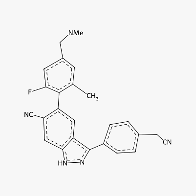 CNCc1cc(C)c(-c2cc3c(-c4ccc(CC#N)cc4)n[nH]c3cc2C#N)c(F)c1